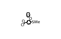 CSc1ccc(C(=O)Cl)cc1OC1CC2CCC1O2